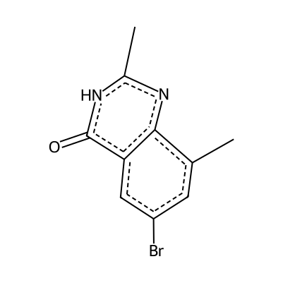 Cc1nc2c(C)cc(Br)cc2c(=O)[nH]1